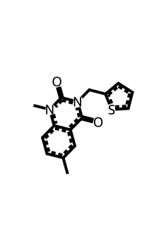 Cc1ccc2c(c1)c(=O)n(Cc1cccs1)c(=O)n2C